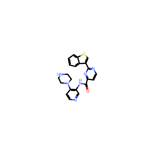 O=C(Nc1cnccc1N1CCNCC1)c1ccnc(-c2csc3ccccc23)n1